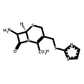 NC1C(=O)N2C(C(=O)O)=C(CSc3nccs3)CS[C@H]12